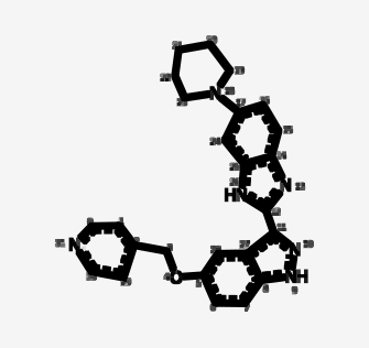 c1cc(COc2ccc3[nH]nc(-c4nc5ccc(N6CCCCC6)cc5[nH]4)c3c2)ccn1